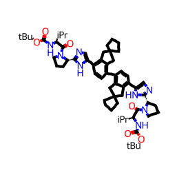 CC(C)[C@H](NC(=O)OC(C)(C)C)C(=O)N1CCC[C@H]1c1ncc(-c2ccc(-c3ccc(-c4cnc([C@@H]5CCCN5C(=O)[C@@H](NC(=O)OC(C)(C)C)C(C)C)[nH]4)c4c3CC3(CCCC3)C4)c3c2CC2(CCCC2)C3)[nH]1